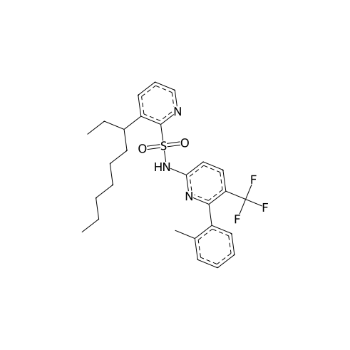 CCCCCCC(CC)c1cccnc1S(=O)(=O)Nc1ccc(C(F)(F)F)c(-c2ccccc2C)n1